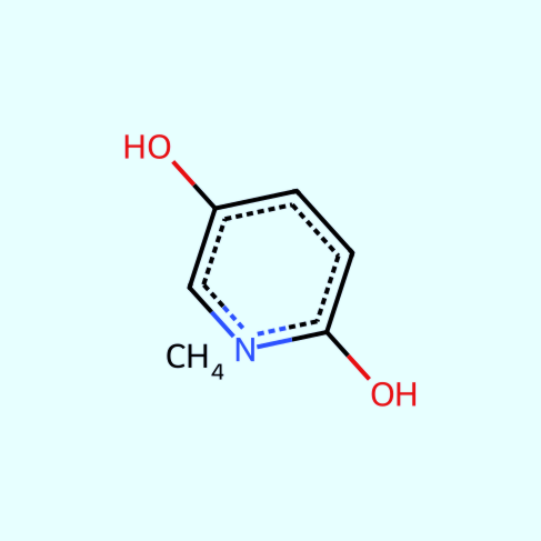 C.Oc1ccc(O)nc1